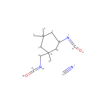 C#N.CC1(C)CC(N=C=O)CC(C)(CN=C=O)C1